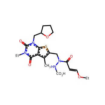 CCOC=CC(=O)N(Cc1sc2c(c1C)c(=O)n(CC)c(=O)n2CC1CCCO1)NC(=O)O